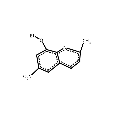 CCOc1cc([N+](=O)[O-])cc2ccc(C)nc12